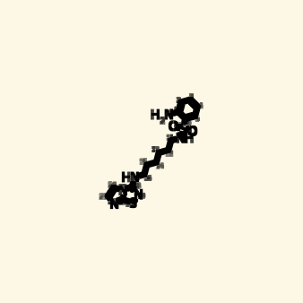 Nc1ccccc1S(=O)(=O)NCCCCCCNc1nsc2nccn12